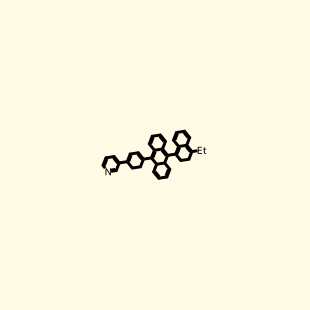 CCC1=c2ccccc2=C(C2=c3ccccc3=C(C3=CC=C(c4cccnc4)CC3)C3C=CC=CC23)CC1